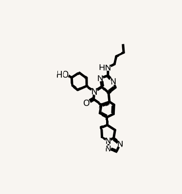 CCCCNc1ncc2c3ccc(C4CCn5ncnc5C4)cc3c(=O)n(C3CCC(O)CC3)c2n1